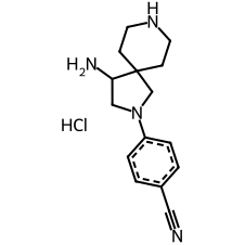 Cl.N#Cc1ccc(N2CC(N)C3(CCNCC3)C2)cc1